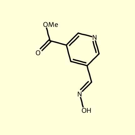 COC(=O)c1cncc(/C=N/O)c1